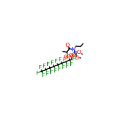 CCCN(C(=O)C(C)S(=O)(=O)C(F)(F)C(F)(F)C(F)(F)C(F)(F)C(F)(F)C(F)(F)C(F)(F)C(F)(F)F)[Si](OC)(OC)OC